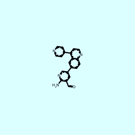 Nc1ncc(-c2ccc3nccc(-c4ccncc4)c3c2)cc1C=O